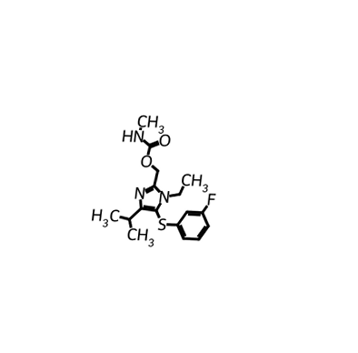 CCn1c(COC(=O)NC)nc(C(C)C)c1Sc1cccc(F)c1